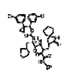 O=C(N[C@@H](CC1CCCCC1)C(=O)NC(CC1CC2(CCCCC2)NC1=O)C(=O)C(=O)NC1CC1)OC(c1cccc(Cl)c1)C1(c2cccc(Cl)c2)CC1